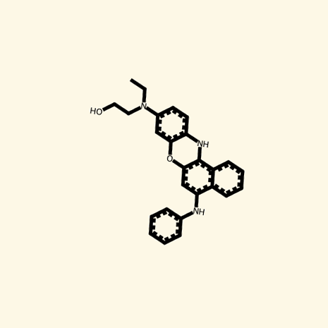 CCN(CCO)c1ccc2c(c1)Oc1cc(Nc3ccccc3)c3ccccc3c1N2